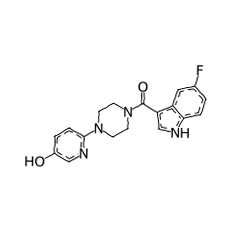 O=C(c1c[nH]c2ccc(F)cc12)N1CCN(c2ccc(O)cn2)CC1